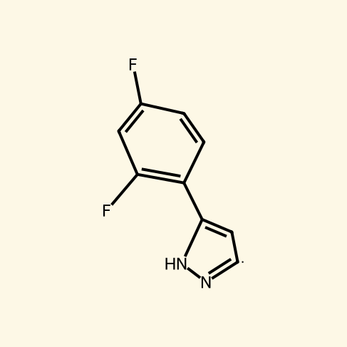 Fc1ccc(-c2c[c]n[nH]2)c(F)c1